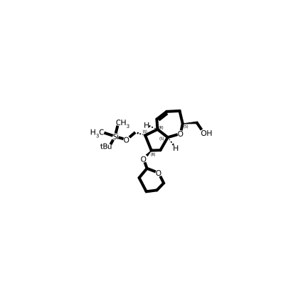 CC(C)(C)[Si](C)(C)OC[C@@H]1[C@H]2C=CC[C@@H](CO)O[C@H]2C[C@H]1OC1CCCCO1